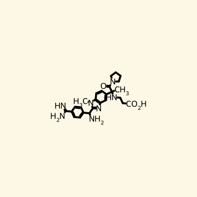 Cn1c(C(N)c2ccc(C(=N)N)cc2)nc2cc(C(C)(NCCC(=O)O)C(=O)N3CCCC3)ccc21